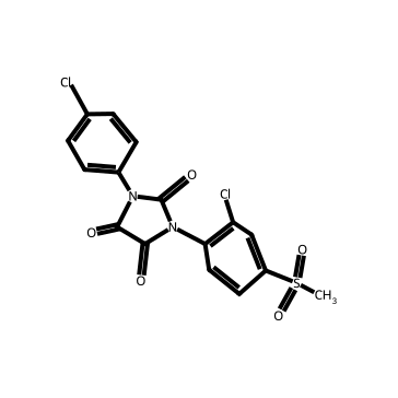 CS(=O)(=O)c1ccc(N2C(=O)C(=O)N(c3ccc(Cl)cc3)C2=O)c(Cl)c1